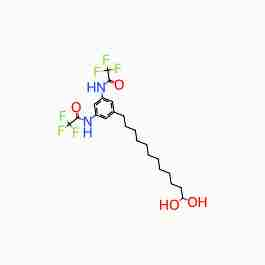 O=C(Nc1cc(CCCCCCCCCCCC(O)O)cc(NC(=O)C(F)(F)F)c1)C(F)(F)F